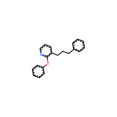 c1ccc(CCCc2cccnc2Oc2ccccc2)cc1